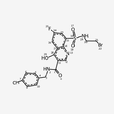 O=C(NCc1ccc(Cl)cc1)c1cnc2c(S(=O)(=O)NCCBr)cc(F)cc2c1O